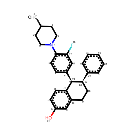 O=CC1CCN(c2ccc([C@@H]3c4ccc(O)cc4CC[C@@H]3c3ccccc3)cc2F)CC1